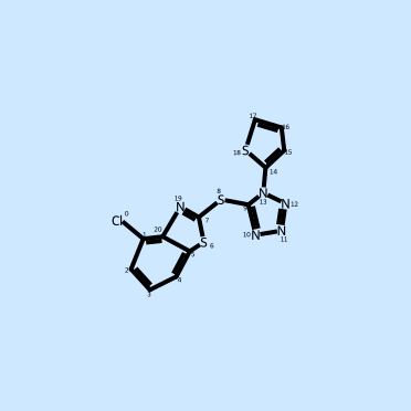 Clc1cccc2sc(Sc3nnnn3-c3cccs3)nc12